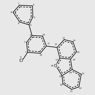 Clc1cc(-c2ccccc2)cc(-c2cccc3c2oc2ccccc23)c1